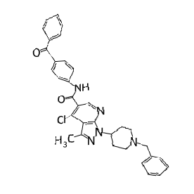 Cc1nn(C2CCN(Cc3ccccc3)CC2)c2ncc(C(=O)Nc3ccc(C(=O)c4ccccc4)cc3)c(Cl)c12